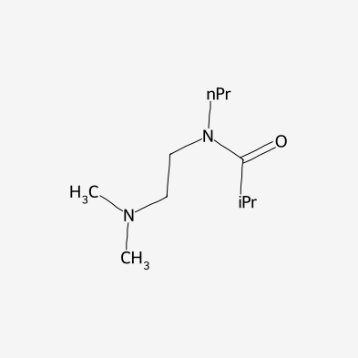 CCCN(CCN(C)C)C(=O)C(C)C